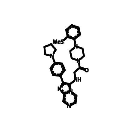 CSc1ccccc1N1CCN(C(=O)CNc2c(-c3ccc(N4CCCC4)cc3)nc3cnccn23)CC1